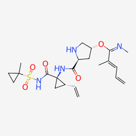 C=C/C=C(C)/C(=N\C)O[C@H]1CN[C@H](C(=O)N[C@]2(C(=O)NS(=O)(=O)C3(C)CC3)C[C@H]2C=C)C1